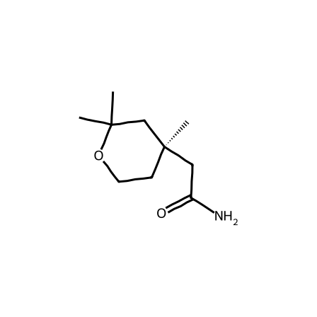 CC1(C)C[C@@](C)(CC(N)=O)CCO1